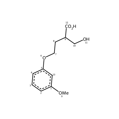 COc1cccc(OCCC(CO)C(=O)O)c1